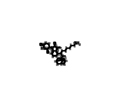 CN(C(CCCCCCN)c1cccc2c1n(C)c(=O)n2C1CCC(=O)NC1=O)C12CC3CC(CC(C3)C1)C2